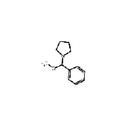 FC(F)(F)OC(c1ccccc1)N1CCCC1